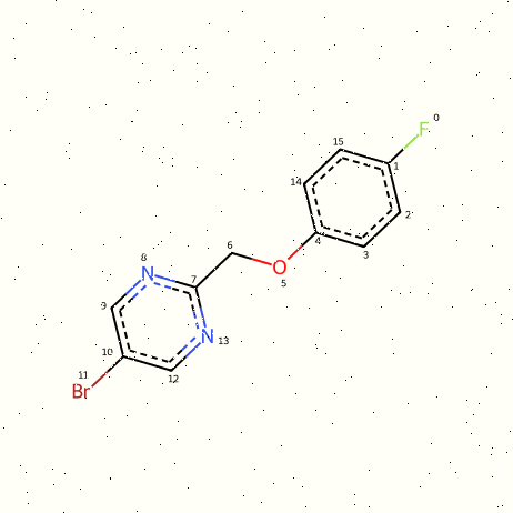 Fc1ccc(OCc2ncc(Br)cn2)cc1